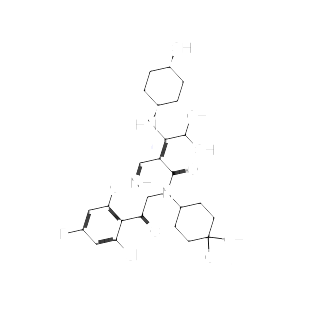 CC(C)/C(N[C@H]1CC[C@@H](C)CC1)=C(/C=N)C(=O)N(CC(=O)c1c(Cl)cc(F)cc1Cl)C1CCC(C)(C)CC1